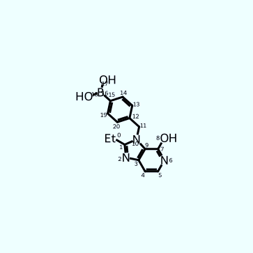 CCc1nc2ccnc(O)c2n1Cc1ccc(B(O)O)cc1